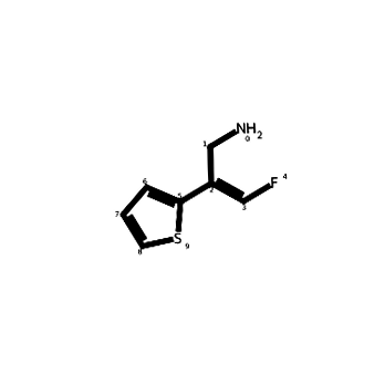 NC/C(=C\F)c1cccs1